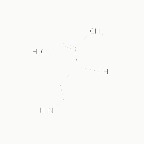 C/C=C(/C)C(C)CCN